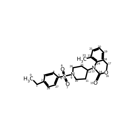 CCc1ccc(S(=O)(=O)N2CCC(N3C(=O)OCc4cccc(C)c43)CC2)cc1